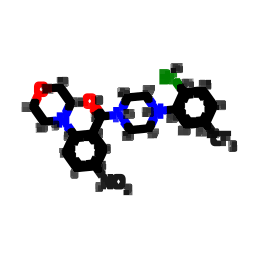 O=C(c1cc([N+](=O)[O-])ccc1N1CCOCC1)N1CCN(c2cc(C(F)(F)F)ccc2Br)CC1